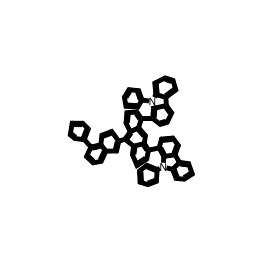 c1ccc(-c2cccc3cc(-c4c5cccc(-c6cccc7c8ccccc8n(-c8ccccc8)c67)c5cc5c(-c6cccc7c8ccccc8n(-c8ccccc8)c67)cccc45)ccc23)cc1